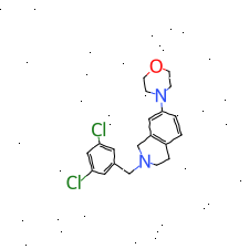 Clc1cc(Cl)cc(CN2CCc3ccc(N4CCOCC4)cc3C2)c1